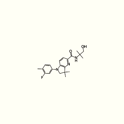 Cc1ccc(N2CC(C)(C)c3nc(C(=O)NC(C)(C)CO)ccc32)cc1F